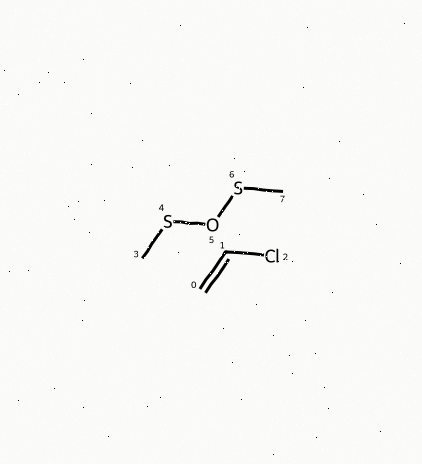 C=CCl.CSOSC